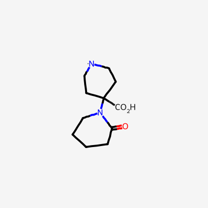 O=C1CCCCN1C1(C(=O)O)CC[N]CC1